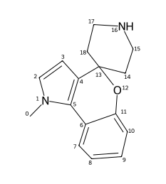 Cn1ccc2c1-c1ccccc1OC21CCNCC1